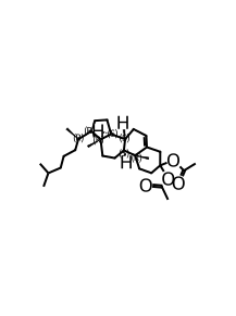 CC(=O)OC1(OC(C)=O)CC[C@@]2(C)C(=CC[C@H]3[C@@H]4CC[C@H]([C@H](C)CCCC(C)C)[C@@]4(C)CC[C@@H]32)C1